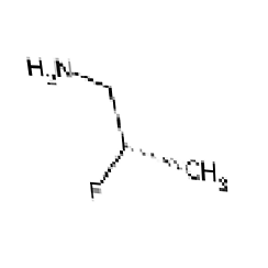 C[C@H](F)CN